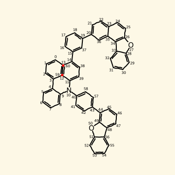 c1ccc(-c2ccccc2N(c2ccc(-c3cccc(-c4ccc5ccc6oc7ccccc7c6c5c4)c3)cc2)c2ccc(-c3cccc4c3oc3ccccc34)cc2)cc1